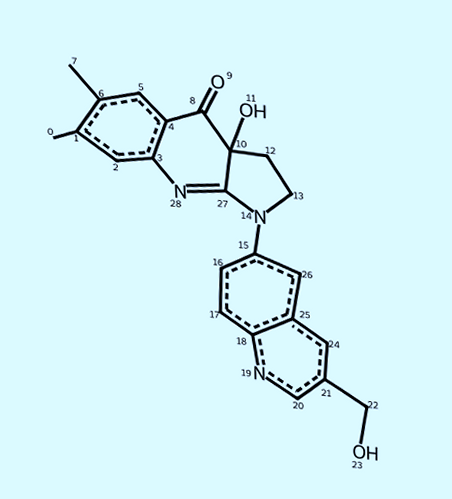 Cc1cc2c(cc1C)C(=O)C1(O)CCN(c3ccc4ncc(CO)cc4c3)C1=N2